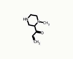 C=CC(=O)C1CNCCN1C